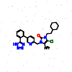 CCCc1c(Cl)n(CCC2CCCCC2)c(=O)n1Cc1ccc(-c2ccccc2-c2nnn[nH]2)cn1